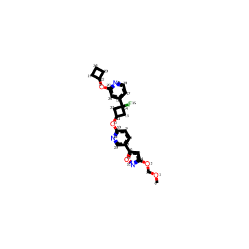 COCOc1cc(-c2ccc(OC3CC(F)(c4ccnc(OC5CCC5)c4)C3)nc2)on1